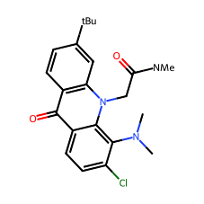 CNC(=O)Cn1c2cc(C(C)(C)C)ccc2c(=O)c2ccc(Cl)c(N(C)C)c21